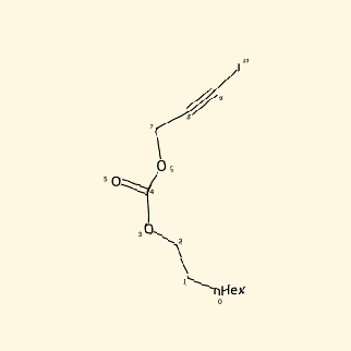 CCCCCCCCOC(=O)OCC#CI